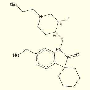 CC(C)(C)CCN1CC[C@@H](CNC(=O)C2(c3ccc(CO)cc3)CCCCC2)[C@@H](F)C1